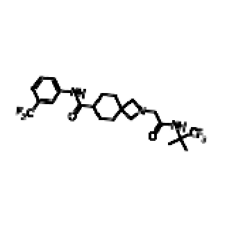 CC(C)(NC(=O)CN1CC2(CCC(C(=O)Nc3cccc(C(F)(F)F)c3)CC2)C1)C(F)(F)F